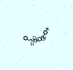 CC(C)(C)c1ccc(C2=NOC3(CCN(OC(=O)NCCc4ccccc4)CC3)C2)cc1